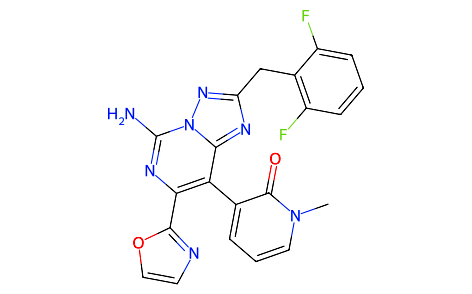 Cn1cccc(-c2c(-c3ncco3)nc(N)n3nc(Cc4c(F)cccc4F)nc23)c1=O